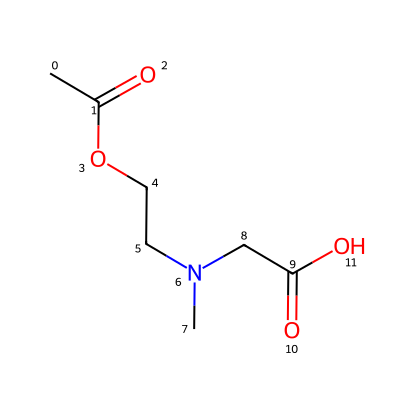 CC(=O)OCCN(C)CC(=O)O